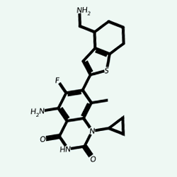 Cc1c(-c2cc3c(s2)CCCC3CN)c(F)c(N)c2c(=O)[nH]c(=O)n(C3CC3)c12